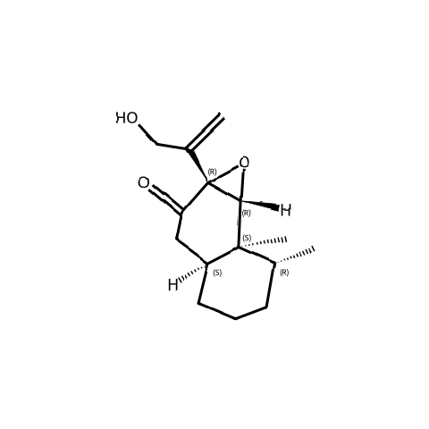 C=C(CO)[C@@]12O[C@@H]1[C@]1(C)[C@@H](CCC[C@H]1C)CC2=O